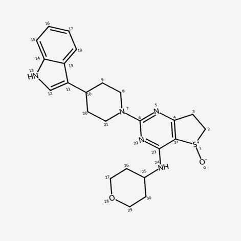 [O-][S+]1CCc2nc(N3CCC(c4c[nH]c5ccccc45)CC3)nc(NC3CCOCC3)c21